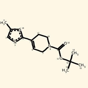 Cc1cnc(C2=CCN(C(=O)OC(C)(C)C)CC2)s1